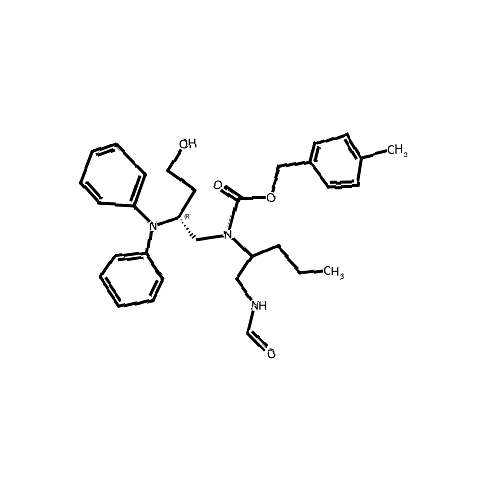 CCCC(CNC=O)N(C[C@@H](CCO)N(c1ccccc1)c1ccccc1)C(=O)OCc1ccc(C)cc1